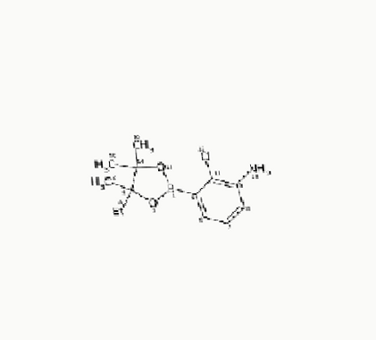 CCC1(C)OB(c2cccc(N)c2Cl)OC1(C)C